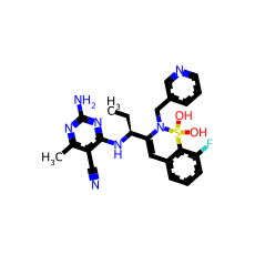 CC[C@H](Nc1nc(N)nc(C)c1C#N)C1=Cc2cccc(F)c2S(O)(O)N1Cc1cccnc1